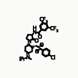 CC(C)N(C)[C@@H]1CC[C@H](N2CCC(NC(=O)c3cc(C(F)(F)F)cc(C(F)(F)F)c3)C2=O)[C@H](CS(=O)(=O)c2ccc(Cl)cc2)C1